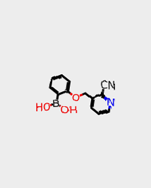 N#Cc1ncccc1COc1ccccc1B(O)O